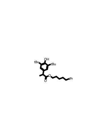 CC(C)CCCCCOC(=O)C(C)c1cc(C(C)(C)C)c(O)c(C(C)(C)C)c1